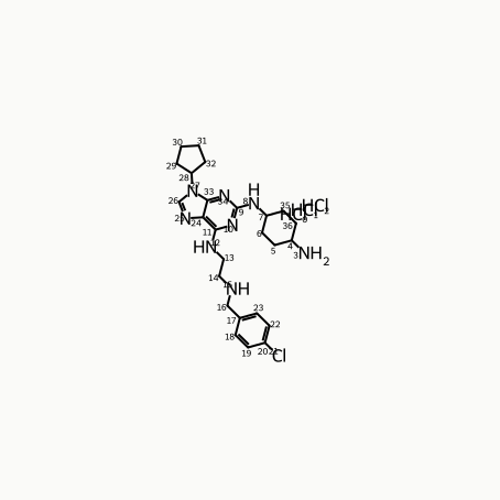 Cl.Cl.Cl.NC1CCC(Nc2nc(NCCNCc3ccc(Cl)cc3)c3ncn(C4CCCC4)c3n2)CC1